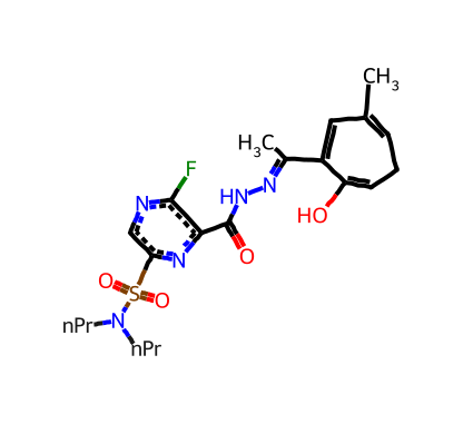 CCCN(CCC)S(=O)(=O)c1cnc(F)c(C(=O)N/N=C(\C)C2=CC(C)=CCC=C2O)n1